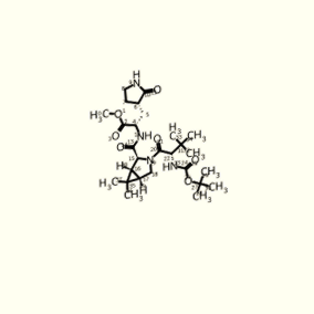 COC(=O)[C@H](C[C@@H]1CCNC1=O)NC(=O)[C@@H]1[C@@H]2[C@H](CN1C(=O)[C@@H](NC(=O)OC(C)(C)C)C(C)(C)C)C2(C)C